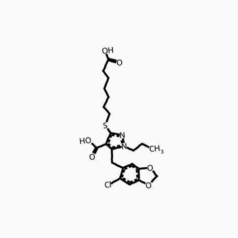 CCCn1nc(SCCCCCCC(=O)O)c(C(=O)O)c1Cc1cc2c(cc1Cl)OCO2